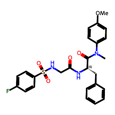 COc1ccc(N(C)C(=O)[C@H](Cc2ccccc2)NC(=O)CNS(=O)(=O)c2ccc(F)cc2)cc1